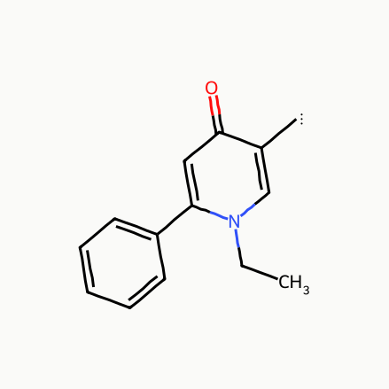 [C]c1cn(CC)c(-c2ccccc2)cc1=O